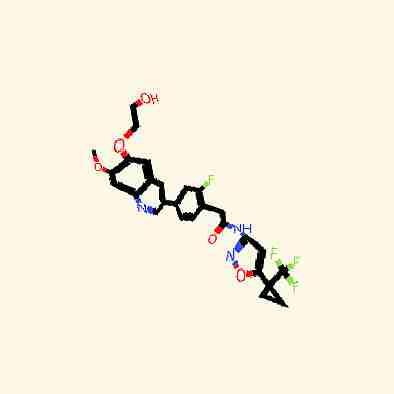 COc1cc2ncc(-c3ccc(CC(=O)Nc4cc(C5(C(F)(F)F)CC5)on4)c(F)c3)cc2cc1OCCO